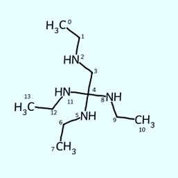 CCNCC(NCC)(NCC)NCC